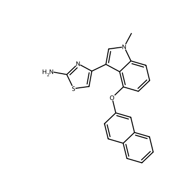 Cn1cc(-c2csc(N)n2)c2c(Oc3ccc4ccccc4c3)cccc21